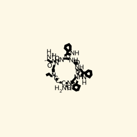 C=CCN1C#CCN(NC(=O)[C@H](C)N)C(=O)N[C@H](Cc2c[nH]c3ccccc23)C(=O)N[C@@H](C)C(=O)NN(Cc2c[nH]c3ccccc23)C(=O)N[C@H](Cc2ccccc2)C(=O)N[C@H](C(N)=O)CCCC1